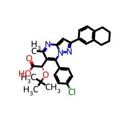 Cc1nc2cc(-c3ccc4c(c3)CCCC4)nn2c(-c2ccc(Cl)cc2)c1[C@H](OC(C)(C)C)C(=O)O